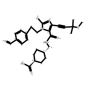 COC(C)(C)C#Cc1nc(Cl)n(CCc2ccc(C=O)cc2)c1C(=O)NC[C@H]1CC[C@H](C(=O)O)CC1